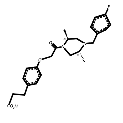 C[C@@H]1CN(C(=O)COc2ccc(CCC(=O)O)cc2)[C@@H](C)CN1Cc1ccc(F)cc1